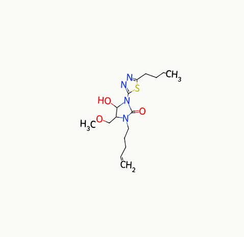 C=CCCCN1C(=O)N(c2nnc(CCCC)s2)C(O)C1COC